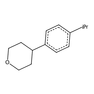 CC(C)c1ccc(C2CCOCC2)cc1